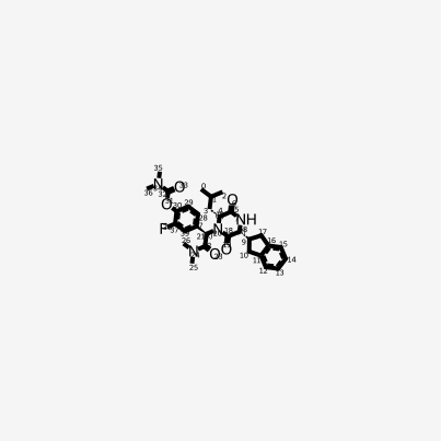 CC(C)C[C@@H]1C(=O)N[C@H](C2Cc3ccccc3C2)C(=O)N1[C@@H](C(=O)N(C)C)c1ccc(OC(=O)N(C)C)c(F)c1